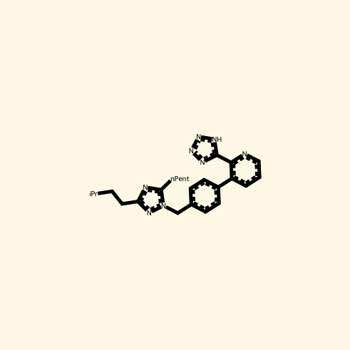 CCCCCc1nc(CCC(C)C)nn1Cc1ccc(-c2cccnc2-c2nnn[nH]2)cc1